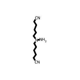 N#CCCCCCN(N)CCCCCC#N